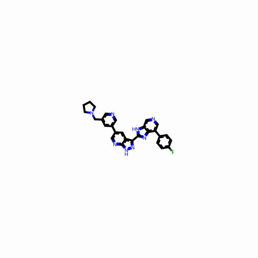 Fc1ccc(-c2cncc3[nH]c(-c4n[nH]c5ncc(-c6cncc(CN7CCCC7)c6)cc45)nc23)cc1